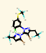 FC(F)(F)Cc1nn(-c2cc(SC(F)(F)F)c[c]c2Cl)c(-n2nc(C(F)(F)F)cc2Br)c1Br